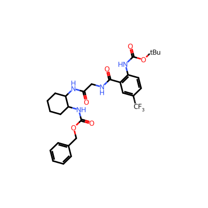 CC(C)(C)OC(=O)Nc1ccc(C(F)(F)F)cc1C(=O)NCC(=O)NC1CCCCC1NC(=O)OCc1ccccc1